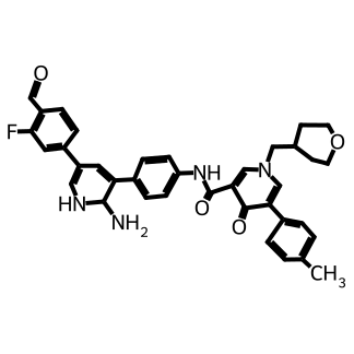 Cc1ccc(-c2cn(CC3CCOCC3)cc(C(=O)Nc3ccc(C4=CC(c5ccc(C=O)c(F)c5)=CNC4N)cc3)c2=O)cc1